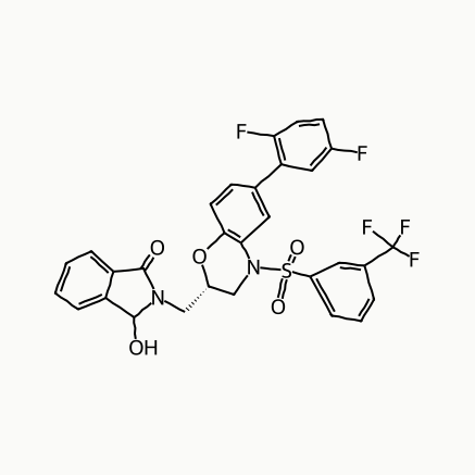 O=C1c2ccccc2C(O)N1C[C@H]1CN(S(=O)(=O)c2cccc(C(F)(F)F)c2)c2cc(-c3cc(F)ccc3F)ccc2O1